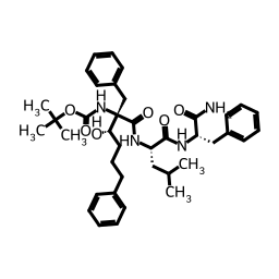 CC(C)C[C@H](NC(=O)[C@@](Cc1ccccc1)(NC(=O)OC(C)(C)C)[C@@H](O)CCCc1ccccc1)C(=O)N[C@@H](Cc1ccccc1)C(N)=O